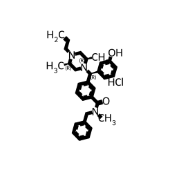 C=CCN1C[C@@H](C)N([C@@H](c2cccc(O)c2)c2cccc(C(=O)N(C)Cc3ccccc3)c2)C[C@H]1C.Cl